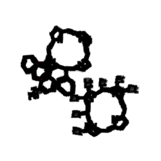 C1=Cc2cc3c(-c4ccccc4)c(-c4ccccc4)c(c(-c4ccccc4)c4nc(cc5ccc(cc1n2)[nH]5)C=C4)n3-c1ccccc1.CCC1=C(CC)c2nc1c(CC)c1[nH]c(cc3nc(cc4c(CC)c(CC)c(c2CC)n4CC)C=C3)cc1CC.[Pd].[Zn]